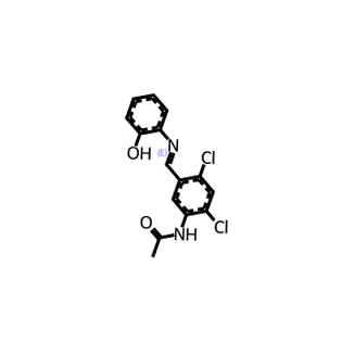 CC(=O)Nc1cc(/C=N/c2ccccc2O)c(Cl)cc1Cl